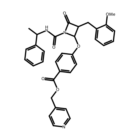 COc1ccccc1CC1C(=O)N(C(=O)NC(C)c2ccccc2)C1Oc1ccc(C(=O)OCc2ccncc2)cc1